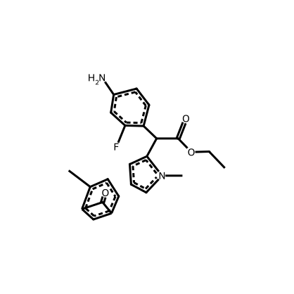 CCOC(=O)C(c1ccc(N)cc1F)c1cccn1C.Cc1ccc2cc1C2=O